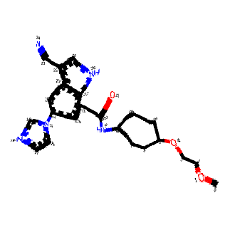 COCCOC1CCC(NC(=O)c2cc(-n3ccnc3)cc3c(C#N)c[nH]c23)CC1